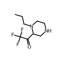 CC[CH]N1CCNCC1C(=O)C(F)(F)F